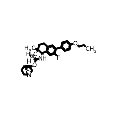 CCCOc1ccc(-c2cc3c(cc2F)[C@H](NC(=O)O[C@H]2CN4CCC2CC4)C(C)(C)CC3)cc1